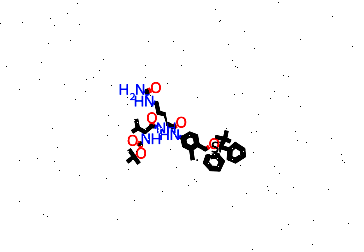 [CH2]c1cc(NC(=O)[C@H](CCCNC(N)=O)NC(=O)[C@@H](NC(=O)OC(C)(C)C)C(C)C)ccc1CO[Si](c1ccccc1)(c1ccccc1)C(C)(C)C